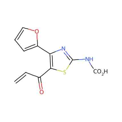 C=CC(=O)c1sc(NC(=O)O)nc1-c1ccco1